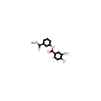 COC(=O)c1cccc(OC(=O)c2ccc(Cl)c(N)c2)c1